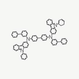 C1=CCCC(n2c3ccccc3c3cc(N(c4ccc(-c5ccc(N(c6cccc(-c7ccccc7)c6)c6ccc7c(c6)c6ccccc6n7-c6ccccc6)cc5)cc4)c4cccc(-c5ccccc5)c4)ccc32)=C1